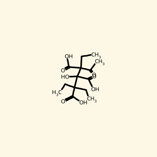 CCC(CC)(C(=O)O)C(O)(C(=O)O)C(CC)(C(C)=O)C(=O)O